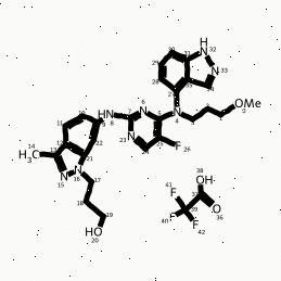 COCCCN(c1nc(Nc2ccc3c(C)nn(CCCO)c3c2)ncc1F)c1cccc2[nH]ncc12.O=C(O)C(F)(F)F